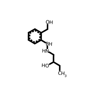 CCC(O)CNBc1ccccc1CO